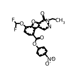 CCn1ncc2c(oc3c(OC(F)F)ccc(C(=O)Oc4ccc([N+](=O)[O-])cc4)c32)c1=O